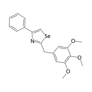 COc1cc(Cc2nc(-c3ccccc3)c[se]2)cc(OC)c1OC